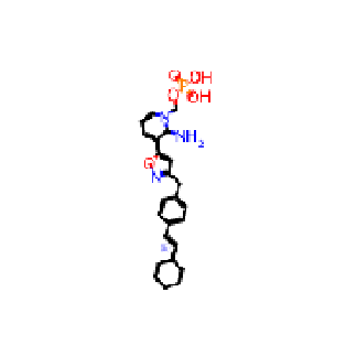 NC1C(c2cc(Cc3ccc(/C=C/C4CCCCC4)cc3)no2)=CC=CN1COP(=O)(O)O